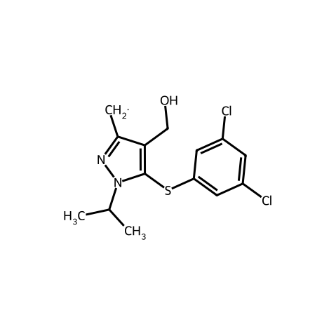 [CH2]c1nn(C(C)C)c(Sc2cc(Cl)cc(Cl)c2)c1CO